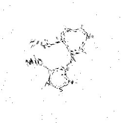 COc1nsnc1-c1cnccc1C.I